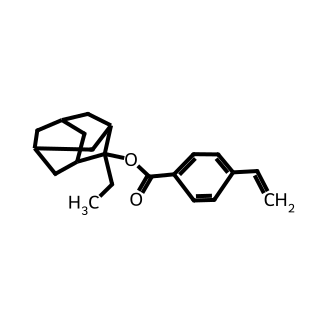 C=Cc1ccc(C(=O)OC2(CC)C3CC4CC(C3)CC2C4)cc1